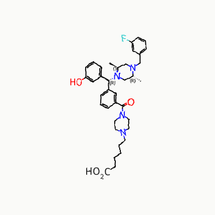 C[C@@H]1CN([C@@H](c2cccc(O)c2)c2cccc(C(=O)N3CCN(CCCCCC(=O)O)CC3)c2)[C@@H](C)CN1Cc1cccc(F)c1